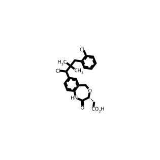 CC(C)(Cc1ccccc1Cl)C(Cl)c1ccc2c(c1)CO[C@H](CC(=O)O)C(=O)N2